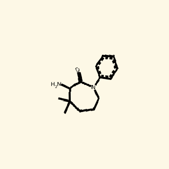 CC1(C)CCCN(c2ccccc2)C(=O)C1N